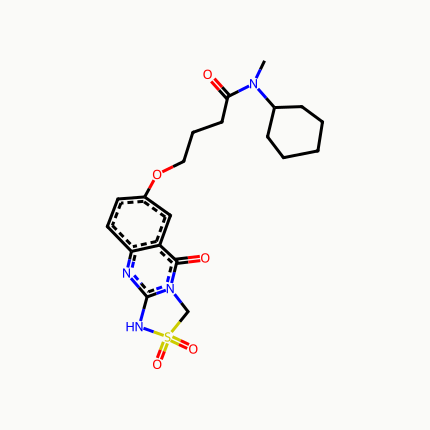 CN(C(=O)CCCOc1ccc2nc3n(c(=O)c2c1)CS(=O)(=O)N3)C1CCCCC1